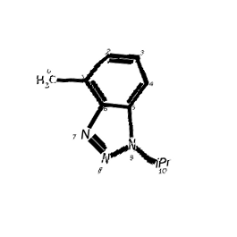 Cc1cccc2c1nnn2C(C)C